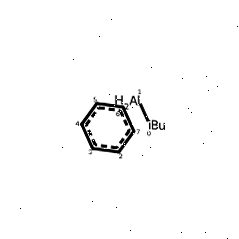 CC[CH](C)[AlH2].c1ccccc1